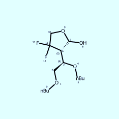 CCCCOC[C@H](OCCCC)[C@H]1C(O)OCC1(F)F